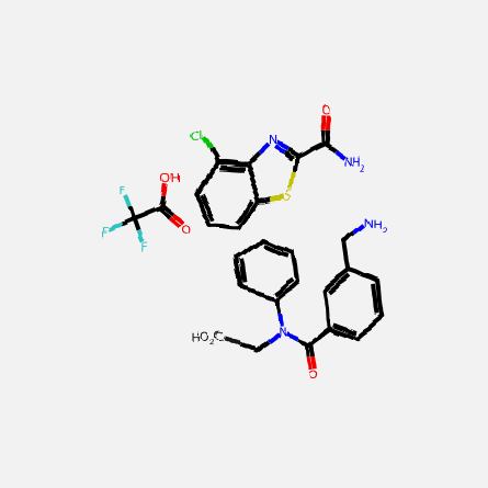 NC(=O)c1nc2c(Cl)cccc2s1.NCc1cccc(C(=O)N(CC(=O)O)c2ccccc2)c1.O=C(O)C(F)(F)F